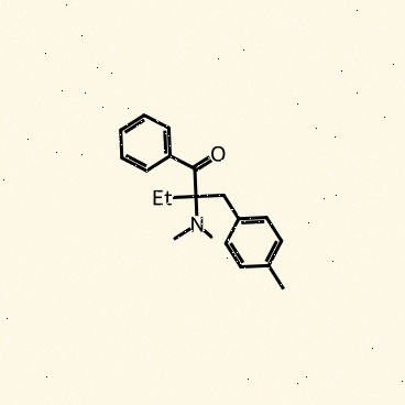 CCC(Cc1ccc(C)cc1)(C(=O)c1ccccc1)N(C)C